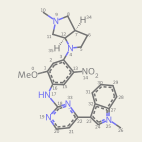 COc1cc(N2CC[C@@H]3CN(C)C[C@@H]32)c([N+](=O)[O-])cc1Nc1nccc(-c2cn(C)c3ccccc23)n1